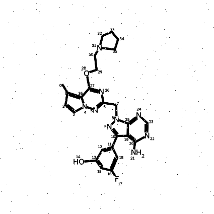 Cc1ccn2nc(Cn3nc(-c4cc(O)cc(F)c4)c4c(N)ncnc43)nc(OCCN3CCCC3)c12